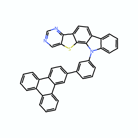 c1cc(-c2ccc3c4ccccc4c4ccccc4c3c2)cc(-n2c3ccccc3c3ccc4c5ncncc5sc4c32)c1